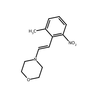 Cc1cccc([N+](=O)[O-])c1C=CN1CCOCC1